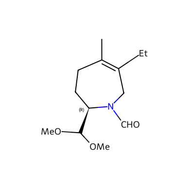 CCC1=C(C)CC[C@H](C(OC)OC)N(C=O)C1